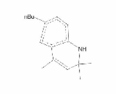 CCCCc1ccc2c(c1)C(C)=CC(C)(C)N2